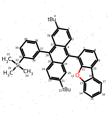 CC(C)(C)c1ccc2c(-c3cccc4c3oc3ccccc34)c3cc(C(C)(C)C)ccc3c(-c3cccc([Si](C)(C)C)c3)c2c1